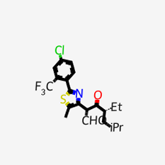 CC[C@H](CC(C)C)C(=O)C(C=O)c1nc(-c2ccc(Cl)cc2C(F)(F)F)sc1C